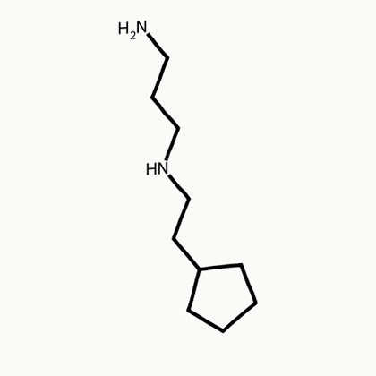 NCCCNCCC1CCCC1